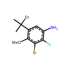 CCC(C)(C)c1cc(N)c(F)c(Br)c1OC